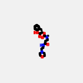 CN(CCC(=O)NCCN1CCOCC1)C(=O)O[C@@H](Cc1ccccc1)C(=O)O